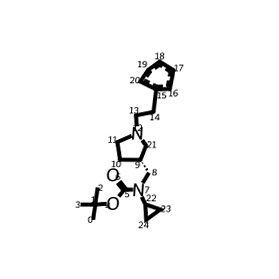 CC(C)(C)OC(=O)N(C[C@@H]1CCN(CCc2ccccc2)C1)C1CC1